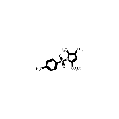 CCOC(=O)c1cc(C)c(C)n1S(=O)(=O)c1ccc(C)cc1